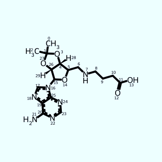 CC1(C)O[C@@H]2C(CNCCCC(=O)O)OC(n3cnc4c(N)ncnc43)[C@@H]2O1